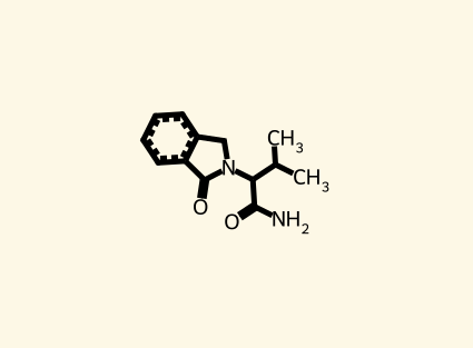 CC(C)C(C(N)=O)N1Cc2ccccc2C1=O